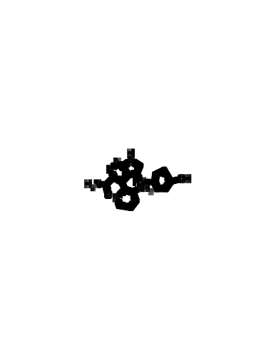 NC(=O)c1nnc2[nH]cc(Nc3ccc(O)cc3)c2c1-c1ncccc1N